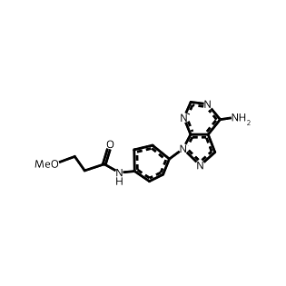 COCCC(=O)Nc1ccc(-n2ncc3c(N)ncnc32)cc1